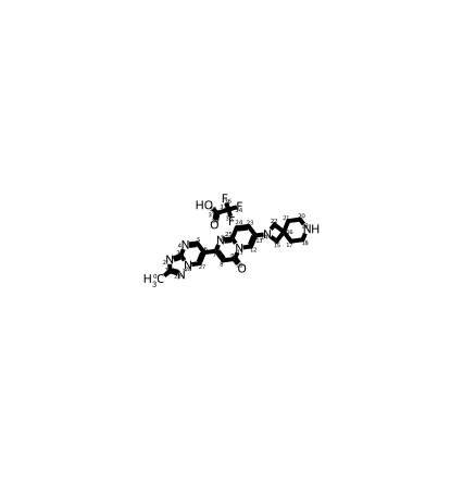 Cc1nc2ncc(-c3cc(=O)n4cc(N5CC6(CCNCC6)C5)ccc4n3)cn2n1.O=C(O)C(F)(F)F